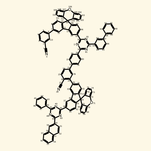 N#Cc1cccc(-c2ccc3c(c2)-c2cc(-c4nc(-c5ccc(-c6ccc(C#N)c(-c7ccc8c(c7)-c7cc(-c9nc(-c%10ccccc%10)nc(-c%10ccc%11ccccc%11c%10)n9)ccc7C87c8ccccc8Oc8ccccc87)c6)cc5)nc(-c5cccc(-c6ccccc6)c5)n4)ccc2C32c3ccccc3Oc3ccccc32)c1